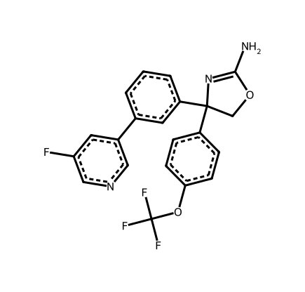 NC1=NC(c2ccc(OC(F)(F)F)cc2)(c2cccc(-c3cncc(F)c3)c2)CO1